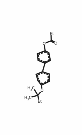 CCC(=O)Oc1ccc(-c2ccc(OC(C)(C)CC)cc2)cc1